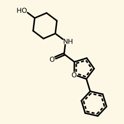 O=C(NC1CCC(O)CC1)c1ccc(-c2ccccc2)o1